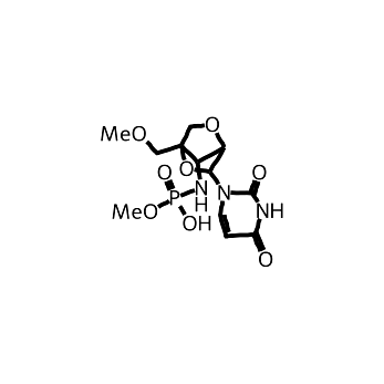 COCC12COC(C(n3ccc(=O)[nH]c3=O)O1)C2NP(=O)(O)OC